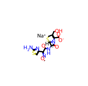 CON=C(C(=O)N[C@@H]1C(=O)N2C(C(=O)[O-])=C(CO)CS[C@@H]12)c1csc(N)n1.[Na+]